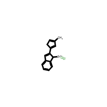 CC1=CCC(C2=Cc3ccccc3[CH]2[Zr+2])=C1.[Cl-].[Cl-]